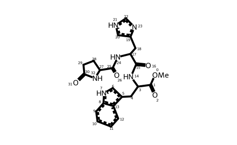 COC(=O)C(Cc1c[nH]c2ccccc12)NC(=O)C(Cc1c[nH]cn1)NC(=O)C1CCC(=O)N1